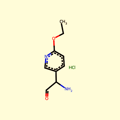 CCOc1ccc(C(N)C=O)cn1.Cl